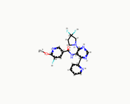 CC(C)Oc1ncc(C(=O)Nc2c(-c3ccccn3)ncnc2N2CCC(F)(F)C2)cc1F